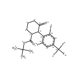 CC(C)(C)OC(=O)N1CCCC(=O)C1c1c(F)cc(C(F)(F)F)cc1F